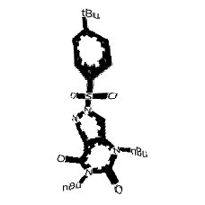 CCCCn1c(=O)c2nn(S(=O)(=O)c3ccc(C(C)(C)C)cc3)cc2n(CCCC)c1=O